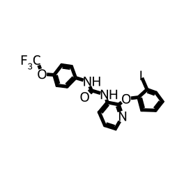 O=C(Nc1ccc(OC(F)(F)F)cc1)Nc1cccnc1Oc1ccccc1I